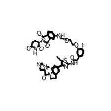 Cc1sc(NC(=O)Cc2ccc(F)c(OCCOCCNc3ccc4c(c3)C(=O)N(C3CCC(=O)NC3=O)C4=O)c2)nc1-c1ccc2c(c1)CCN2C(=O)c1cncn1C